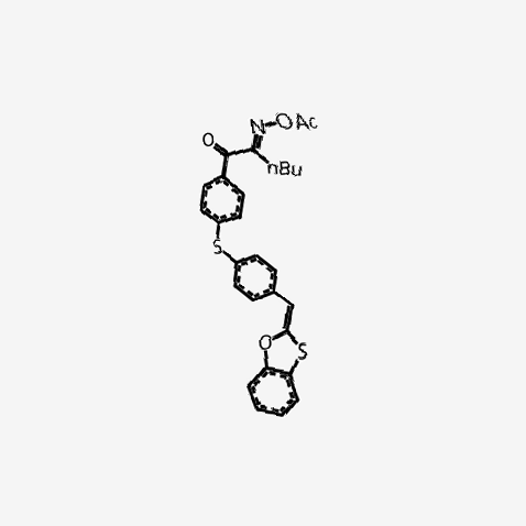 CCCC/C(=N\OC(C)=O)C(=O)c1ccc(Sc2ccc(/C=C3\Oc4ccccc4S3)cc2)cc1